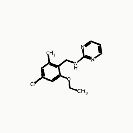 CCOc1cc(Cl)cc(C)c1CNc1ncccn1